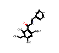 COc1cc(N=O)c(CN=O)c(N=O)c1C(=O)/C=C/c1ccccc1